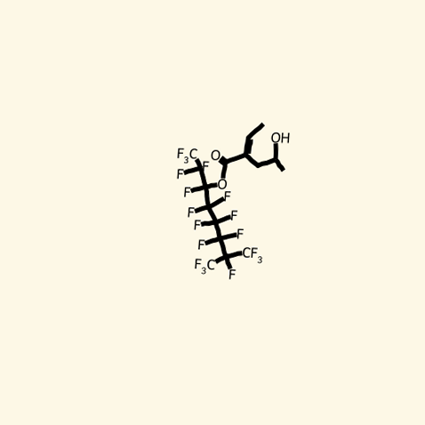 CC=C(CC(C)O)C(=O)OC(F)(C(F)(F)C(F)(F)F)C(F)(F)C(F)(F)C(F)(F)C(F)(C(F)(F)F)C(F)(F)F